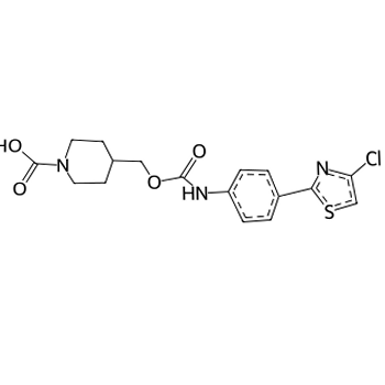 O=C(Nc1ccc(-c2nc(Cl)cs2)cc1)OCC1CCN(C(=O)O)CC1